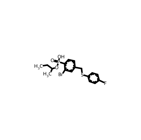 CCC(C)OP(=O)(O)c1ccc(CSc2ccc(F)cc2)cc1Br